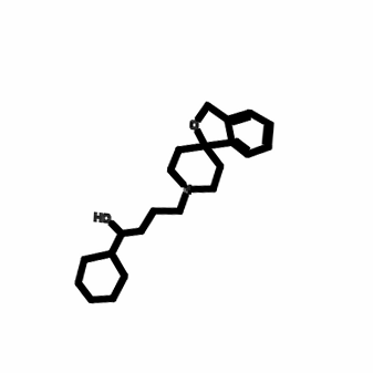 OC(CCCN1CCC2(CC1)OCc1ccccc12)C1CCCCC1